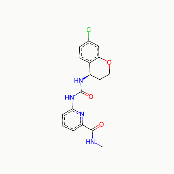 CNC(=O)c1cccc(NC(=O)N[C@@H]2CCOc3cc(Cl)ccc32)n1